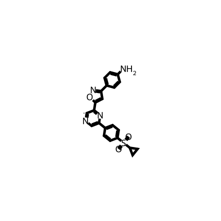 Nc1ccc(-c2cc(-c3[c]ncc(-c4ccc(S(=O)(=O)C5CC5)cc4)n3)on2)cc1